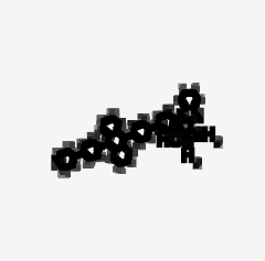 BC(c1nc2ccccc2n1-c1ccc(-c2ccc(-c3c4ccccc4c(-c4ccc(-c5ccncc5)cc4)c4ccccc34)cc2)cc1)C(B)(B)O